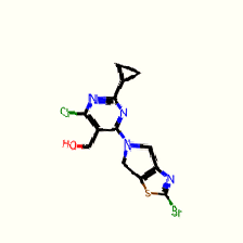 OCc1c(Cl)nc(C2CC2)nc1N1Cc2nc(Br)sc2C1